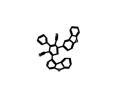 N#Cc1c(-c2ccc3oc4ccccc4c3c2)cc(-c2cccc3oc4ccccc4c23)c(C#N)c1-c1ccccc1